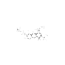 CNC1CN(c2c(F)cc3cc4c(=O)c(C(=O)O)cn(NC)c4nc3c2F)C1